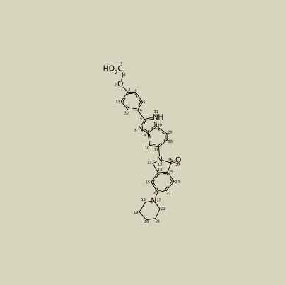 O=C(O)COc1ccc(-c2nc3cc(N4Cc5cc(N6CCCCC6)ccc5C4=O)ccc3[nH]2)cc1